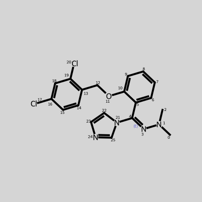 CN(C)/N=C(\c1ccccc1OCc1ccc(Cl)cc1Cl)n1ccnc1